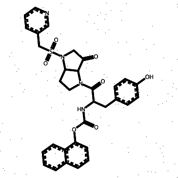 O=C(NC(Cc1ccc(O)cc1)C(=O)N1CCC2C1C(=O)CN2S(=O)(=O)Cc1cccnc1)Oc1cccc2ccccc12